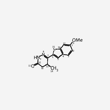 COc1ccc2cc(C3=NNC(=O)CC3C)sc2c1